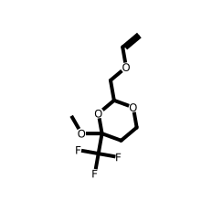 C=COCC1OCCC(OC)(C(F)(F)F)O1